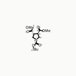 COC(=O)[C@H]1CN(C(=O)OC(C)(C)C)C[C@@H]1C(=O)OC